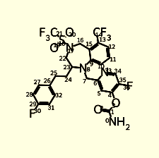 NC(=O)Oc1cc(CN2c3cccc(C(F)(F)F)c3CN(S(=O)(=O)C(F)(F)F)CC2CCc2ccc(F)cc2)ncc1F